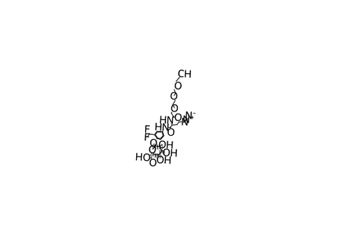 C#CCOCCOCCOCC(=O)NC(CCN=[N+]=[N-])C(=O)Nc1ccc(O[C@H]2O[C@@H](C(=O)O)[C@H](O)[C@@H](O)[C@@H]2O)c(C(F)F)c1